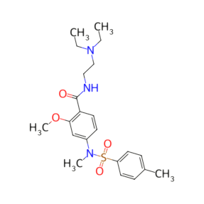 CCN(CC)CCNC(=O)c1ccc(N(C)S(=O)(=O)c2ccc(C)cc2)cc1OC